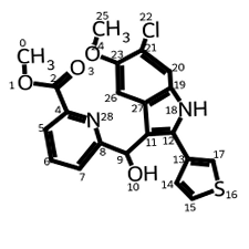 COC(=O)c1cccc(C(O)c2c(-c3ccsc3)[nH]c3cc(Cl)c(OC)cc23)n1